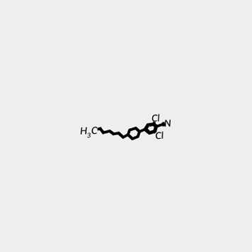 CCCCCCCC1CCC(c2cc(Cl)c(C#N)c(Cl)c2)CC1